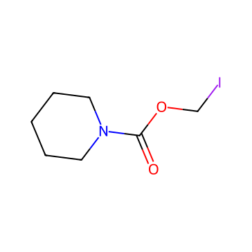 O=C(OCI)N1CCCCC1